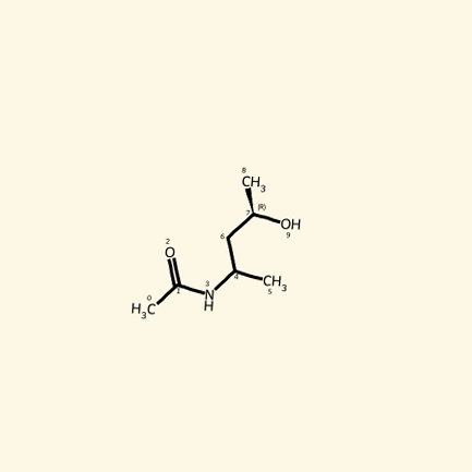 CC(=O)NC(C)C[C@@H](C)O